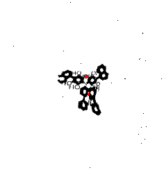 C/C=C\c1c(C)cccc1-c1c(O)c(O)c(N(c2ccc(-c3ccccc3-n3c4ccccc4c4ccccc43)cc2)c2c(O)c(O)c(-c3cccc4ccccc34)c(O)c2O)c(O)c1O